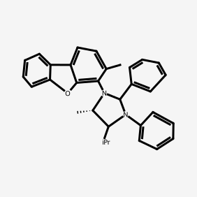 Cc1ccc2c(oc3ccccc32)c1N1C(c2ccccc2)N(c2ccccc2)C(C(C)C)[C@@H]1C